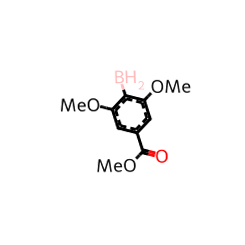 Bc1c(OC)cc(C(=O)OC)cc1OC